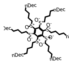 CCCCCCCCCCCCCC[S+]([O-])c1c([S+]([O-])CCCCCCCCCCCCCC)c([S+]([O-])CCCCCCCCCCCCCC)c([S+]([O-])CCCCCCCCCCCCCC)c([S+]([O-])CCCCCCCCCCCCCC)c1[S+]([O-])CCCCCCCCCCCCCC